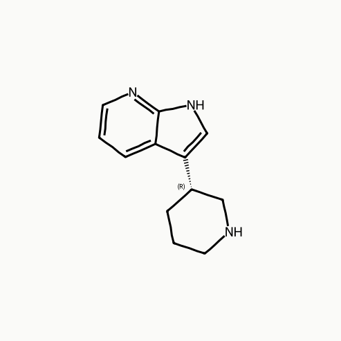 c1cnc2[nH]cc([C@H]3CCCNC3)c2c1